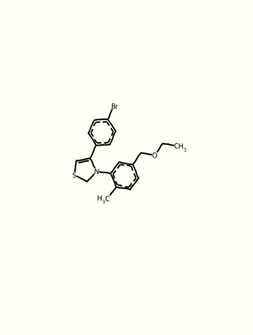 CCOCc1ccc(C)c(N2CSC=C2c2ccc(Br)cc2)c1